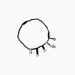 CCCCN1C(=O)C(=O)NCCCC/C=C\CCCC/C=C\1Br